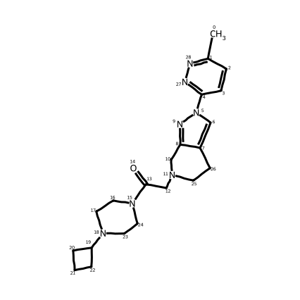 Cc1ccc(-n2cc3c(n2)CN(CC(=O)N2CCN(C4CCC4)CC2)CC3)nn1